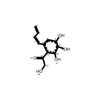 C=C/C=C\c1cc(O)c(O)c(O)c1C(=O)CO